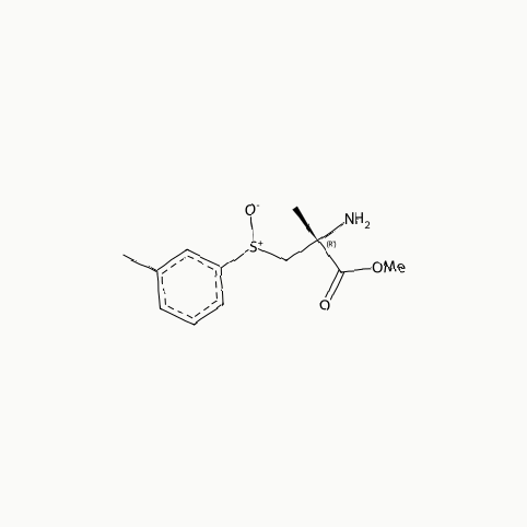 COC(=O)[C@@](C)(N)C[S+]([O-])c1cccc(C)c1